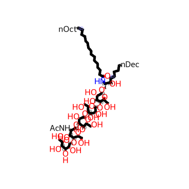 CCCCCCCC/C=C\CCCCCCCCCCCCCC(=O)N[C@@H](CO[C@@H]1OC(CO)[C@@H](O[C@@H]2OC(CO)[C@H](O[C@@H]3OC(CO)[C@H](O)[C@H](O[C@@H]4OC(CO)[C@H](O[C@@H]5OC(CO)[C@H](O)[C@H](O)C5O)[C@H](O)C4NC(C)=O)C3O)[C@H](O)C2O)[C@H](O)C1O)[C@H](O)/C=C/CCCCCCCCCCCCC